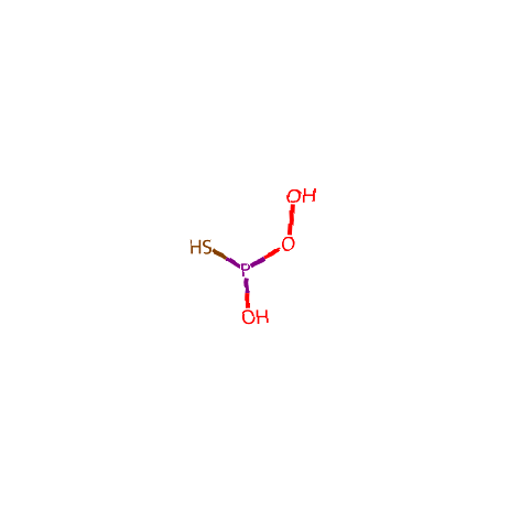 OOP(O)S